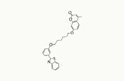 Cc1cc(=O)oc2cc(OCCCCCCOc3cccc(-c4nc5ccccc5s4)c3)ccc12